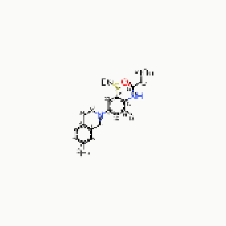 [2H]c1ccc2c(c1)CN(c1cc(C)c(NC(=O)CC(C)(C)C)c(SCC)c1)CC2